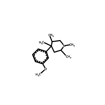 COc1cccc(C2(C)CC(C)N(C)CC2C)c1